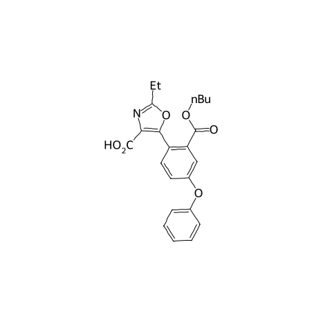 CCCCOC(=O)c1cc(Oc2ccccc2)ccc1-c1oc(CC)nc1C(=O)O